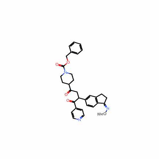 CO/N=C1/CCc2cc(C(CC(=O)C3CCN(C(=O)OCc4ccccc4)CC3)C(=O)c3ccncc3)ccc21